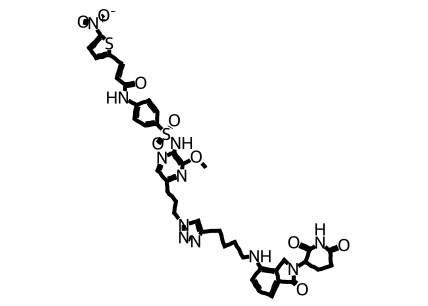 COc1nc(CCCn2cc(CCCCNc3cccc4c3CN(C3CCC(=O)NC3=O)C4=O)nn2)cnc1NS(=O)(=O)c1ccc(NC(=O)/C=C/c2ccc([N+](=O)[O-])s2)cc1